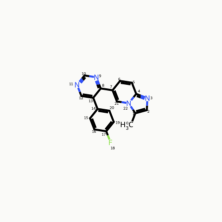 Cc1cnc2ccc(-c3ncncc3-c3ccc(F)cc3)cn12